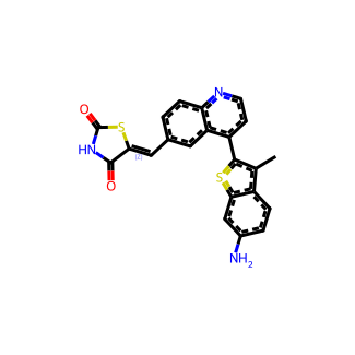 Cc1c(-c2ccnc3ccc(/C=C4\SC(=O)NC4=O)cc23)sc2cc(N)ccc12